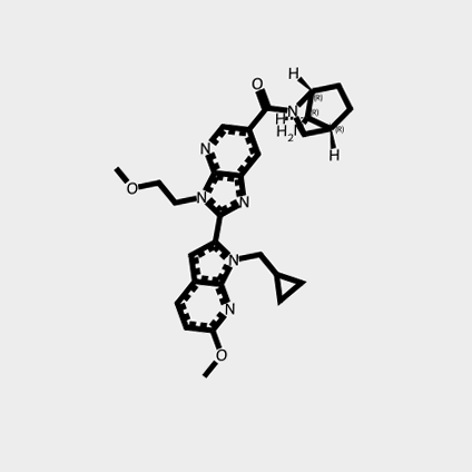 COCCn1c(-c2cc3ccc(OC)nc3n2CC2CC2)nc2cc(C(=O)N3C[C@H]4CC[C@@H]3[C@@H]4N)cnc21